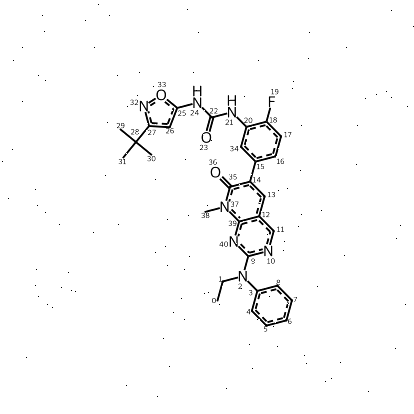 CCN(c1ccccc1)c1ncc2cc(-c3ccc(F)c(NC(=O)Nc4cc(C(C)(C)C)no4)c3)c(=O)n(C)c2n1